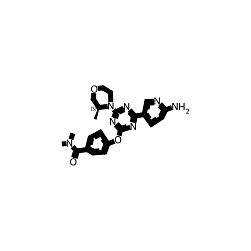 C[C@H]1COCCN1c1nc(Oc2ccc(C(=O)N(C)C)cc2)nc(-c2ccc(N)nc2)n1